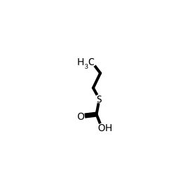 CCCSC(=O)O